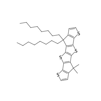 CCCCCCCCC1(CCCCCCCC)c2ccsc2-c2sc3c4c(sc3c21)-c1sccc1C4(C)C